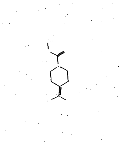 CC(C#N)=C1CCN(C(=O)OC(C)(C)C)CC1